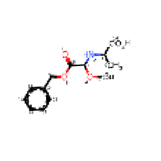 CC(NC(OC(C)(C)C)C(=O)OCc1ccccc1)C(=O)O